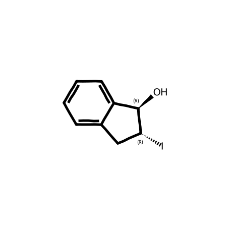 O[C@@H]1c2ccccc2C[C@H]1I